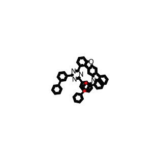 c1ccc(-c2ccc(-n3c4ccccc4c4cc5oc6cccc(-c7nc(-c8cccc(-c9ccccc9)c8)nc(-c8cccc(-c9ccccc9)c8)n7)c6c5cc43)cc2)cc1